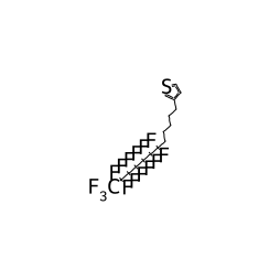 FC(F)(F)C(F)(F)C(F)(F)C(F)(F)C(F)(F)C(F)(F)C(F)(F)CCCCCc1ccsc1